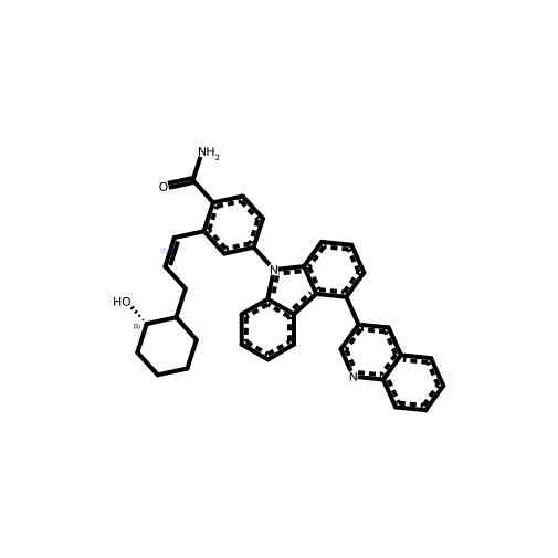 NC(=O)c1ccc(-n2c3ccccc3c3c(-c4cnc5ccccc5c4)cccc32)cc1/C=C\CC1CCCC[C@@H]1O